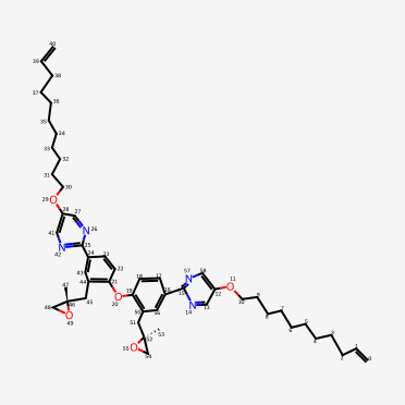 C=CCCCCCCCCCOc1cnc(-c2ccc(Oc3ccc(-c4ncc(OCCCCCCCCCC=C)cn4)cc3C[C@@]3(C)CO3)c(C[C@@]3(C)CO3)c2)nc1